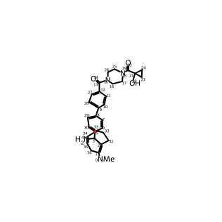 CN/C1=C(/C(N)c2ccc(-c3ccc(C(=O)N4CCN(C(=O)C5(O)CC5)CC4)cc3)cc2)CCC/C=C\C1